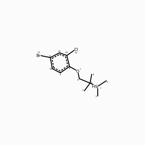 C[SiH](C)C(C)(C)COc1ccc(Br)cc1Cl